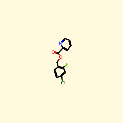 O=C(OCc1ccc(Cl)cc1F)c1ccccn1